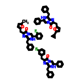 Cc1ccc(Cc2nc3c(Cc4ccccc4)[nH]c(-c4ccccc4F)cn-3c2=O)o1.O=c1c(Cc2ccc(C3CC3)o2)nc2c(Cc3ccccc3)[nH]c(-c3ccccc3)cn1-2.O=c1c(Cc2cccc(F)c2)nc2c(Cc3ccccc3)[nH]c(-c3ccccc3)cn1-2